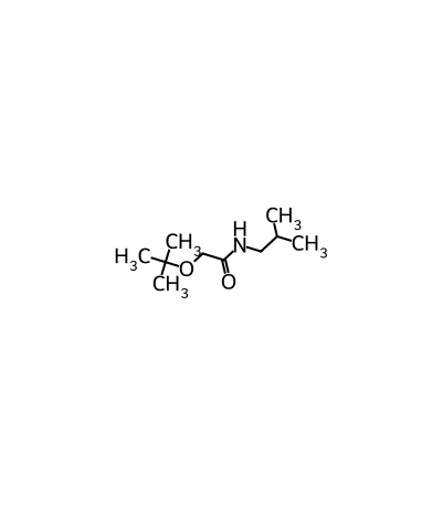 CC(C)CNC(=O)COC(C)(C)C